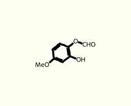 COc1ccc(OC=O)c(O)c1